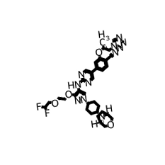 C[C@@H](Cn1cnnn1)Oc1cc(-c2cnc(Nc3cn(C4CCC(N5[C@@H]6CC[C@H]5COC6)CC4)nc3OCCOCC(F)F)nc2)ccc1C#N